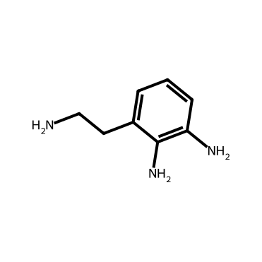 NCCc1cccc(N)c1N